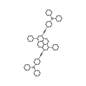 C(#Cc1cc(-c2ccccc2)c2ccc3c(C#Cc4ccc(N(c5ccccc5)c5ccccc5)cc4)cc(-c4ccccc4)c4ccc1c2c34)c1ccc(N(c2ccccc2)c2ccccc2)cc1